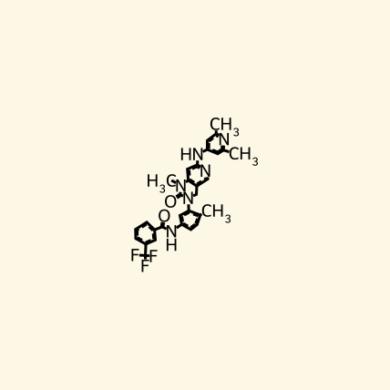 Cc1cc(Nc2cc3c(cn2)CN(c2cc(NC(=O)c4cccc(C(F)(F)F)c4)ccc2C)C(=O)N3C)cc(C)n1